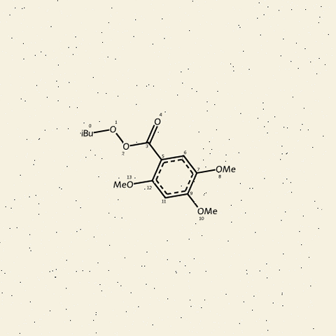 CC[C](C)OOC(=O)c1cc(OC)c(OC)cc1OC